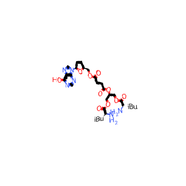 CC[C@H](C)[C@H](N)C(=O)OCC(COC(=O)[C@@H](N)[C@@H](C)CC)OC(=O)CCC(=O)OC[C@@H]1CC[C@H](n2cnc3c(O)ncnc32)O1